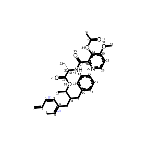 C=C/C=C\C(=C/C)CC(Cc1ccccc1)C(C)OC(=O)[C@H](C)NC(=O)c1nccc(OC)c1OC(C)=O